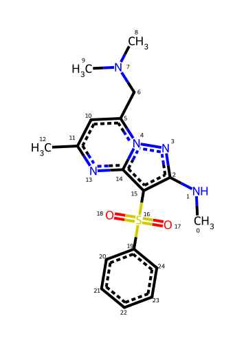 CNc1nn2c(CN(C)C)cc(C)nc2c1S(=O)(=O)c1ccccc1